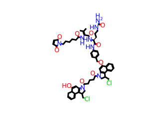 CC(C)=C(NC(=O)CCCCCN1C(=O)C=CC1=O)C(=O)N[C@@H](CCCNC(N)=O)C(=O)Nc1ccc(COc2cc3c(c4ccccc24)C(CCl)CN3C(=O)CCCC(=O)N2CC(CCl)C3=C2C=C(O)C2CC=CC=C32)cc1